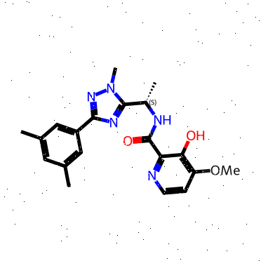 COc1ccnc(C(=O)N[C@@H](C)c2nc(-c3cc(C)cc(C)c3)nn2C)c1O